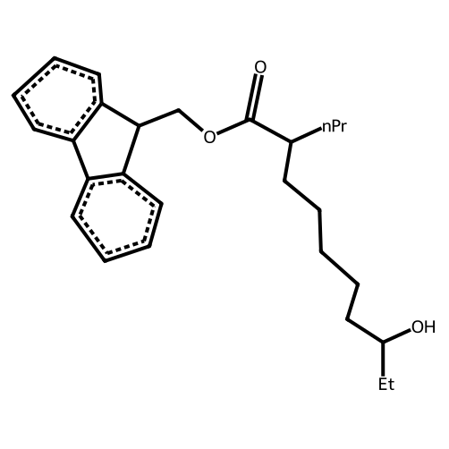 CCCC(CCCCCC(O)CC)C(=O)OCC1c2ccccc2-c2ccccc21